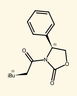 CC[C@H](C)CC(=O)N1C(=O)OC[C@@H]1c1ccccc1